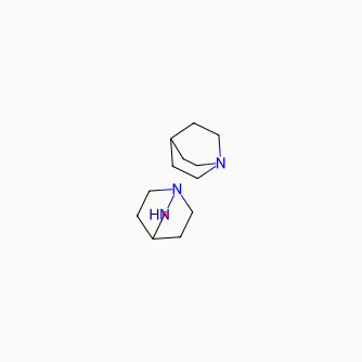 C1CN2CCC1CC2.C1CN2CCC1CN2